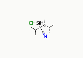 CC(C)C(C)C(C#N)([SiH2]Cl)C(C)C